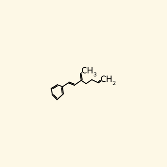 C=CCCC(C=Cc1ccccc1)=CC